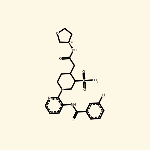 CS(=O)(=O)C1CN(c2ncccc2NC(=O)c2cccc(Cl)c2)CCC1CC(=O)N[C@@H]1CCOC1